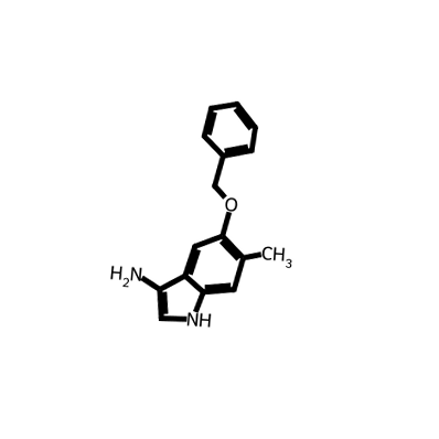 Cc1cc2[nH]cc(N)c2cc1OCc1ccccc1